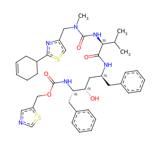 CC(C)[C@H](NC(=O)N(C)Cc1csc(C2CC=CCC2)n1)C(=O)N[C@@H](Cc1ccccc1)C[C@H](O)[C@H](Cc1ccccc1)NC(=O)OCc1cncs1